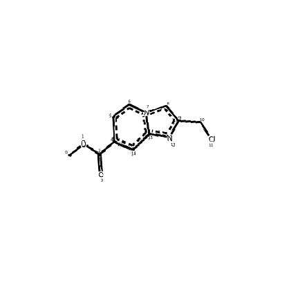 COC(=O)c1ccn2cc(CCl)nc2c1